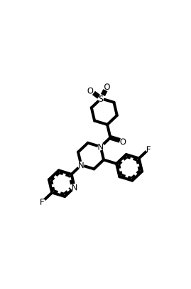 O=C(C1CCS(=O)(=O)CC1)N1CCN(c2ccc(F)cn2)CC1c1cccc(F)c1